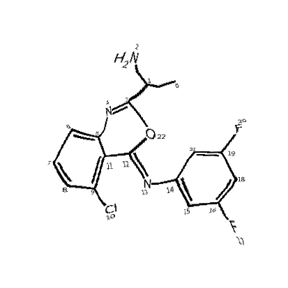 CC(N)c1nc2cccc(Cl)c2/c(=N/c2cc(F)cc(F)c2)o1